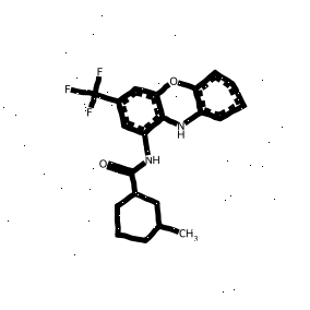 CC1CCCC(C(=O)Nc2cc(C(F)(F)F)cc3c2Nc2ccccc2O3)C1